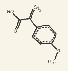 C=C(C(=O)O)c1ccc(OC)cc1